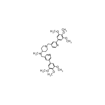 COc1cc(-c2cncc(CN(C)C3CCN(Cc4ccnc(-c5cc(OC)c(OC)c(OC)c5)c4)CC3)c2)cc(OC)c1OC